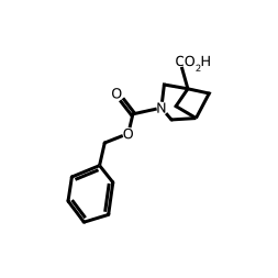 O=C(OCc1ccccc1)N1CC2CC(C(=O)O)(C2)C1